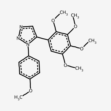 COc1ccc(-n2nncc2-c2cc(OC)c(OC)c(OC)c2OC)cc1